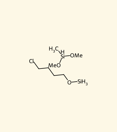 CO[SiH](C)OC.[SiH3]OCCCCCl